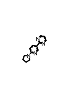 c1cnc(-c2ccc(N3CCCC3)nc2)nc1